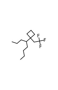 CCCCC(CCC)C1(CC(F)(F)F)CCC1